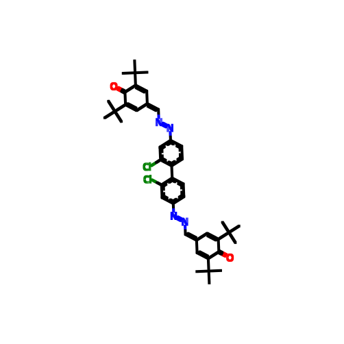 CC(C)(C)C1=CC(=C/N=N/c2ccc(-c3ccc(/N=N/C=C4C=C(C(C)(C)C)C(=O)C(C(C)(C)C)=C4)cc3Cl)c(Cl)c2)C=C(C(C)(C)C)C1=O